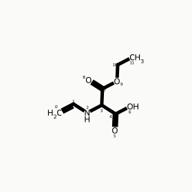 C=CNC(C(=O)O)C(=O)OCC